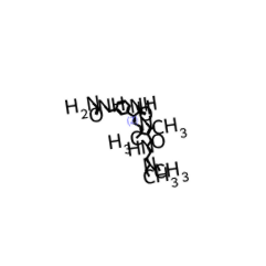 CCN(CC)CCNC(=O)c1c(C)[nH]c(/C=C2\C(=O)Nc3ccc(CNC(N)=O)cc32)c1C